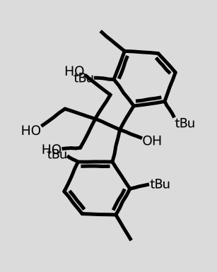 Cc1ccc(C(C)(C)C)c(C(O)(c2c(C(C)(C)C)ccc(C)c2C(C)(C)C)C(CO)(CO)CO)c1C(C)(C)C